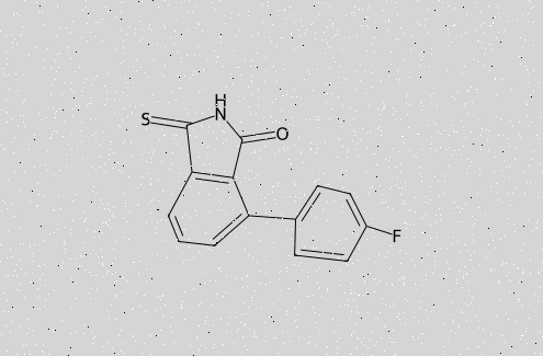 O=C1NC(=S)c2cccc(-c3ccc(F)cc3)c21